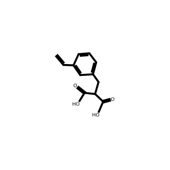 C=Cc1cccc(CC(C(=O)O)C(=O)O)c1